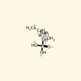 O.O.O=P(O)(O)O.[CaH2].[CaH2].[NaH]